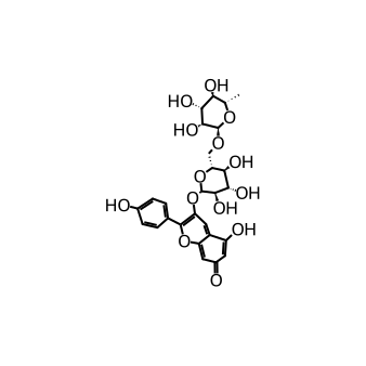 C[C@@H]1O[C@@H](OC[C@H]2O[C@@H](Oc3cc4c(O)cc(=O)cc-4oc3-c3ccc(O)cc3)[C@H](O)[C@@H](O)[C@@H]2O)[C@H](O)[C@H](O)[C@H]1O